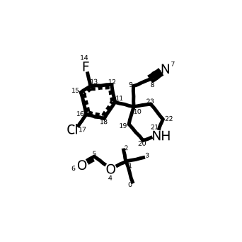 CC(C)(C)OC=O.N#CCC1(c2cc(F)cc(Cl)c2)CCNCC1